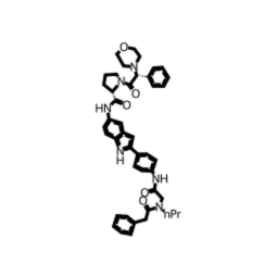 CCCN(CC(=O)Nc1ccc(-c2cc3cc(NC(=O)[C@@H]4CCCN4C(=O)[C@@H](c4ccccc4)N4CCOCC4)ccc3[nH]2)cc1)C(=O)Cc1ccccc1